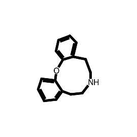 c1ccc2c(c1)CCNCCc1ccccc1O2